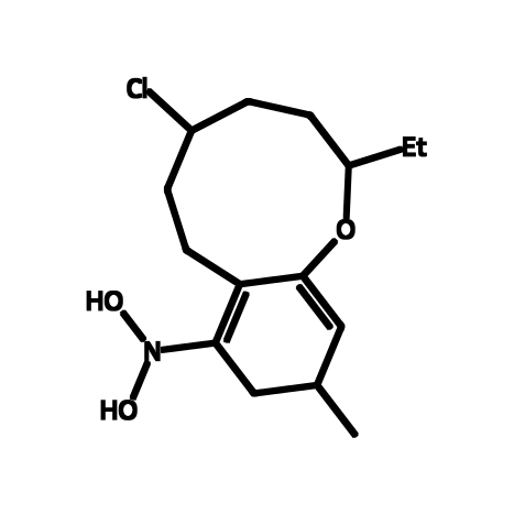 CCC1CCC(Cl)CCC2=C(N(O)O)CC(C)C=C2O1